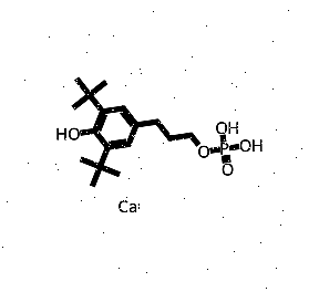 CC(C)(C)c1cc(CCCOP(=O)(O)O)cc(C(C)(C)C)c1O.[Ca]